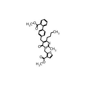 CCCCc1nc(C)n(Cc2sccc2C(=O)OC)c(=O)c1Cc1ccc(-c2ccccc2C(=O)OC)cc1